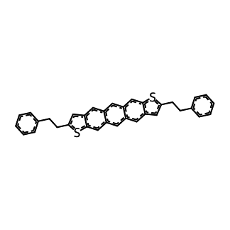 c1ccc(CCc2cc3cc4cc5cc6sc(CCc7ccccc7)cc6cc5cc4cc3s2)cc1